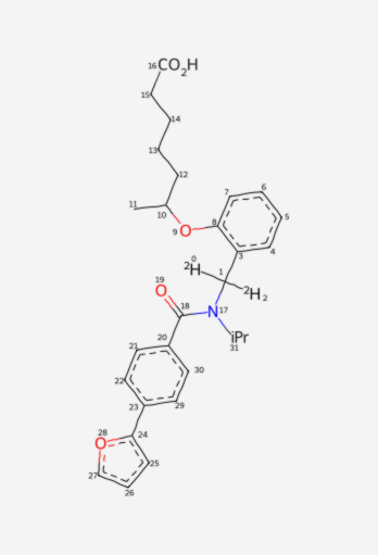 [2H]C([2H])(c1ccccc1OC(C)CCCCC(=O)O)N(C(=O)c1ccc(-c2ccco2)cc1)C(C)C